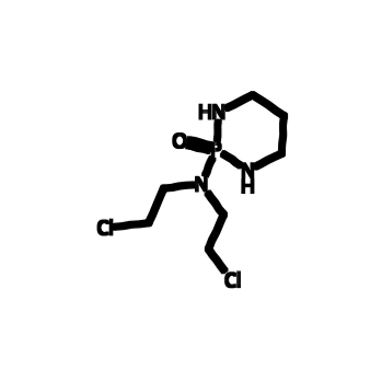 O=P1(N(CCCl)CCCl)NCCCN1